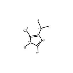 Cc1nc(N(C)C)c(Cl)n1C